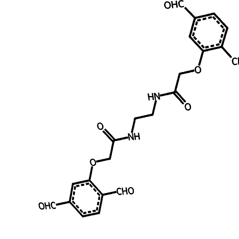 O=Cc1ccc(C=O)c(OCC(=O)NCCNC(=O)COc2cc(C=O)ccc2C=O)c1